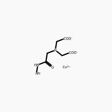 [CH2]CCNC(=O)CN(CC(=O)[O-])CC(=O)[O-].[Cu+2]